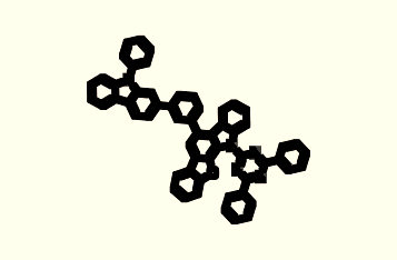 c1ccc(-c2nc(-c3ccccc3)nc(-n3c4ccccc4c4c(-c5cccc(-c6ccc7c8ccccc8n(-c8ccccc8)c7c6)c5)cc5c6ccccc6oc5c43)n2)cc1